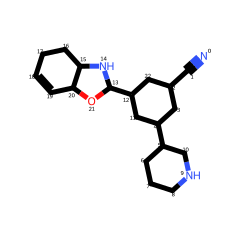 N#CC1CC(C2CCCNC2)CC(C2NC3CCC=CC3O2)C1